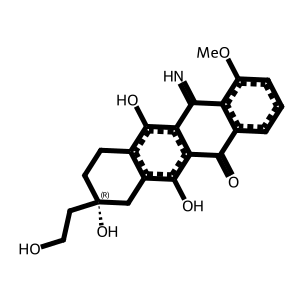 COc1cccc2c1C(=N)c1c(O)c3c(c(O)c1C2=O)C[C@@](O)(CCO)CC3